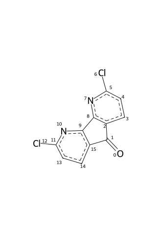 O=C1c2ccc(Cl)nc2-c2nc(Cl)ccc21